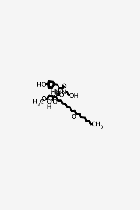 CCCCCCCC(=O)CCCCCC/C=C/[C@H](C(=O)N[C@@H](Cc1ccc(O)cc1)C(=O)NCCO)[C@@](O)(CCOC)C(=O)O